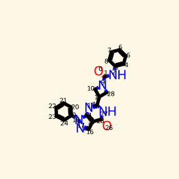 O=C(Nc1ccccc1)N1CC(c2nc3c(cnn3-c3ccccc3)c(=O)[nH]2)C1